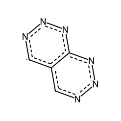 [c]1nnnc2nnncc12